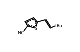 CC(C)(C)/C=C/c1ccc(C#N)s1